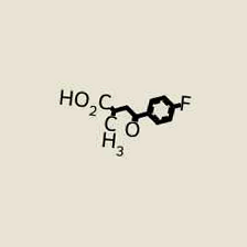 CC(CC(=O)c1ccc(F)cc1)C(=O)O